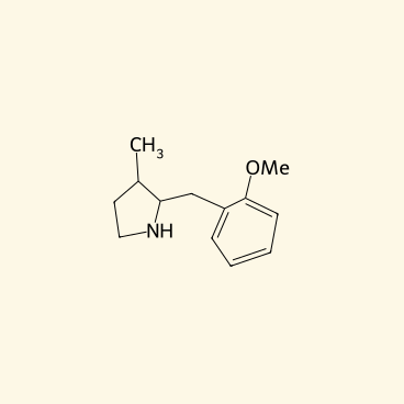 COc1ccccc1CC1NCCC1C